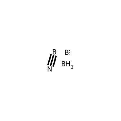 B.B#N.[B]